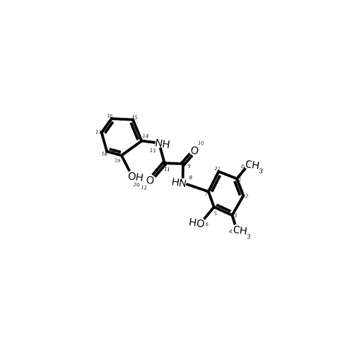 Cc1cc(C)c(O)c(NC(=O)C(=O)Nc2ccccc2O)c1